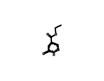 CCOC(=O)c1cn[nH]c(=O)c1